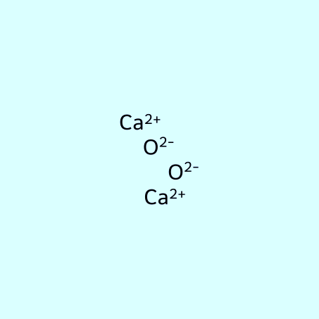 [Ca+2].[Ca+2].[O-2].[O-2]